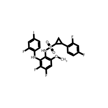 COc1cc(F)c(F)c(Nc2ccc(I)cc2F)c1NS(=O)(=O)C1CC1c1ccc(F)cc1F